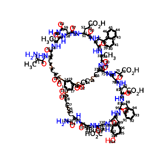 C[C@H](N)C(=O)N[C@H]1CSCCS(=O)(=O)c2cc3cc(c2)S(=O)(=O)CCSC[C@@H](NC(=O)[C@@H](C)NC(=O)[C@H](Cc2cccc4ccccc24)NC(=O)[C@H](CCC(=O)O)NC(=O)[C@H](CC(N)=O)NC(=O)[C@@H](C)NC1=O)C(=O)N[C@@H](CCC(=O)O)C(=O)N[C@@H](CC(=O)O)C(=O)N[C@@H](Cc1ccccc1)C(=O)N[C@@H](Cc1ccc(O)cc1)C(=O)N[C@@H](CC(=O)O)C(=O)N[C@@H](C(C)(C)C)C(=O)N[C@H](C(N)=O)CSCCS3(=O)=O